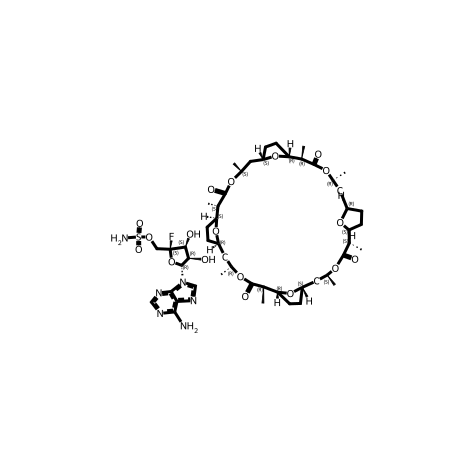 C[C@@H]1C[C@H]2CC[C@H](O2)[C@H](C)C(=O)O[C@@H](C)C[C@@H]2CC[C@@H](O2)[C@@H](C)C(=O)O[C@H](C)C[C@H]2CC[C@H](O2)[C@H](C)C(=O)O[C@@H](C)C[C@@H]2CC[C@@H](O2)[C@@H](C)C(=O)O1.Nc1ncnc2c1ncn2[C@@H]1O[C@](F)(COS(N)(=O)=O)[C@@H](O)[C@H]1O